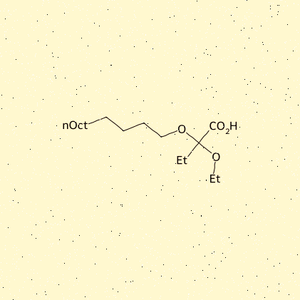 CCCCCCCCCCCCOC(CC)(OCC)C(=O)O